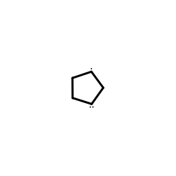 [C]1C[CH]CC1